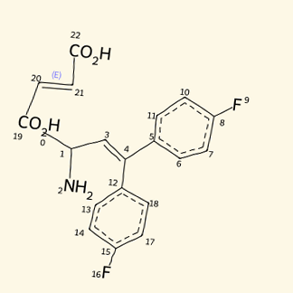 CC(N)C=C(c1ccc(F)cc1)c1ccc(F)cc1.O=C(O)/C=C/C(=O)O